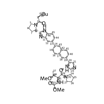 CC[C@H](C)CC(=O)N1CCC[C@H]1c1nc2cc(-c3ccc4cc(-c5cnc([C@@H]6CCCN6C(=O)[C@@H](NC(=O)OC)[C@@H](C)OC)[nH]5)ccc4c3)ccc2[nH]1